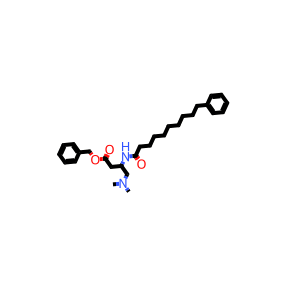 CN(C)CC(CC(=O)OCc1ccccc1)NC(=O)CCCCCCCCCc1ccccc1